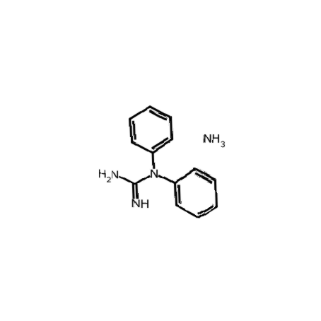 N.N=C(N)N(c1ccccc1)c1ccccc1